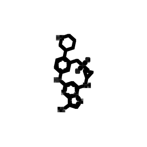 CS(=O)(=O)Cc1cc(Nc2cc(NC3CC3)n3ncc(C#N)c3n2)ccc1C1CCCNC1